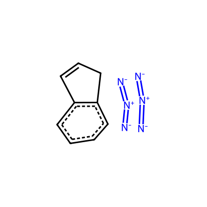 C1=Cc2ccccc2C1.[N-]=[N+]=[N-].[N-]=[N+]=[N-]